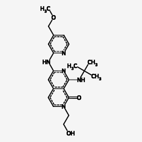 COCc1ccnc(Nc2cc3ccn(CCO)c(=O)c3c(NC(C)(C)C)n2)c1